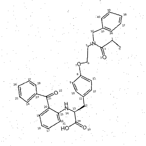 CCC(=O)N(CCOc1ccc(C[C@H](Nc2ccccc2C(=O)c2ccccc2)C(=O)O)cc1)Cc1ccccc1